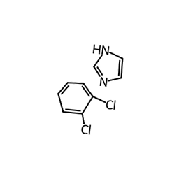 Clc1ccccc1Cl.c1c[nH]cn1